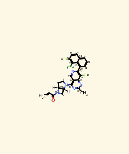 C=CC(=O)N1C[C@@H]2[C@H]1CCN2c1nc(C)nc2c(F)c(-c3cccc4ccc(F)c(Cl)c34)ncc12